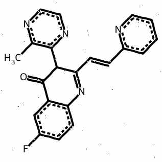 Cc1nccnc1C1C(=O)c2cc(F)ccc2N=C1C=Cc1ccccn1